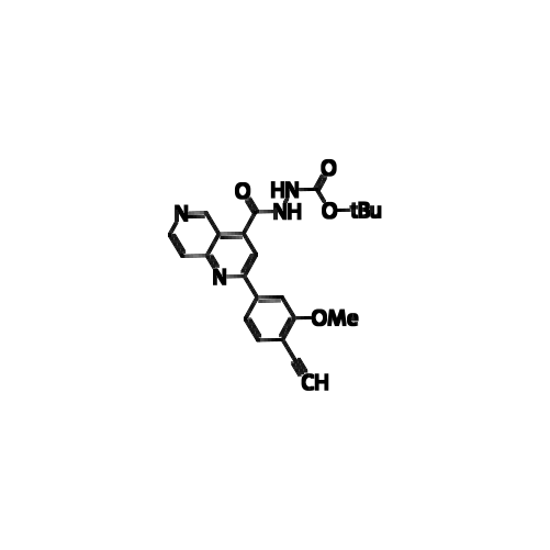 C#Cc1ccc(-c2cc(C(=O)NNC(=O)OC(C)(C)C)c3cnccc3n2)cc1OC